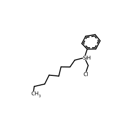 CCCCCCCC[SiH](CCl)c1ccccc1